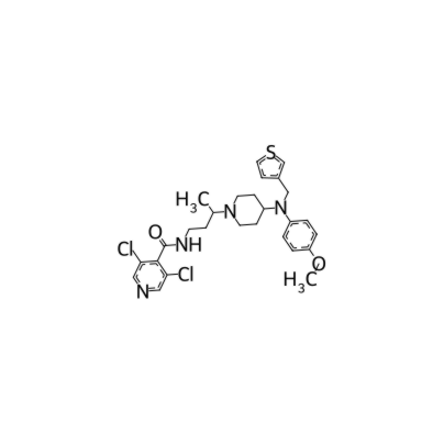 COc1ccc(N(Cc2ccsc2)C2CCN(C(C)CCNC(=O)c3c(Cl)cncc3Cl)CC2)cc1